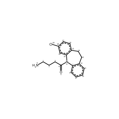 NCCCC(=O)N1c2ccccc2CCc2ccc(Cl)cc21